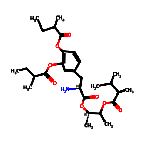 CCC(C)C(=O)Oc1ccc(C[C@H](N)C(=O)O[C@@H](C)C(C)OC(=O)C(C)C(C)C)cc1OC(=O)C(C)CC